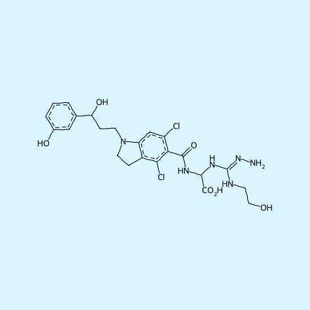 N/N=C(\NCCO)NC(NC(=O)c1c(Cl)cc2c(c1Cl)CCN2CCC(O)c1cccc(O)c1)C(=O)O